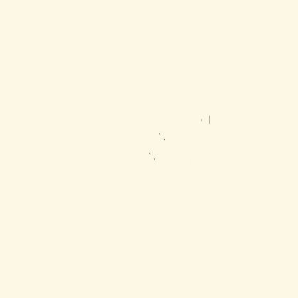 Clc1nn(-c2ccccc2)cc1I